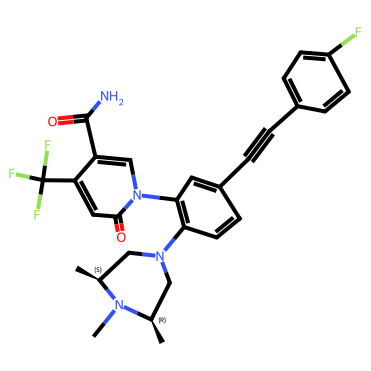 C[C@@H]1CN(c2ccc(C#Cc3ccc(F)cc3)cc2-n2cc(C(N)=O)c(C(F)(F)F)cc2=O)C[C@H](C)N1C